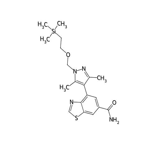 Cc1nn(COCC[Si](C)(C)C)c(C)c1-c1cc(C(N)=O)cc2scnc12